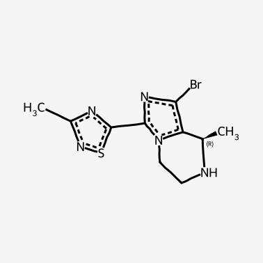 Cc1nsc(-c2nc(Br)c3n2CCN[C@@H]3C)n1